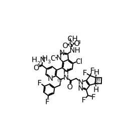 Cn1nc(NS(C)(=O)=O)c2c(Cl)ccc(-c3cc(C(N)=O)cnc3[C@H](Cc3cc(F)cc(F)c3)NC(=O)Cn3nc(C(F)F)c4c3C(F)(F)[C@@H]3CC[C@H]43)c21